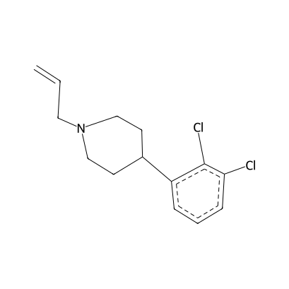 C=CCN1CCC(c2cccc(Cl)c2Cl)CC1